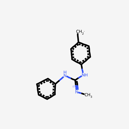 [CH2]c1ccc(N/C(=N\C)Nc2ccccc2)cc1